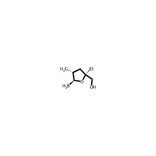 B[C@@H]1O[C@](CC)(CO)C[C@H]1C